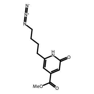 COC(=O)c1cc(CCCCN=[N+]=[N-])[nH]c(=O)c1